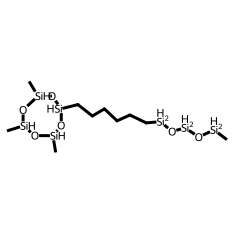 C[SiH2]O[SiH2]O[SiH2]CCCCCC[SiH]1O[SiH](C)O[SiH](C)O[SiH](C)O1